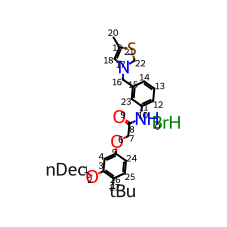 Br.CCCCCCCCCCOc1cc(OCC(=O)Nc2cccc(CN3C=C(C)SC3)c2)ccc1C(C)(C)C